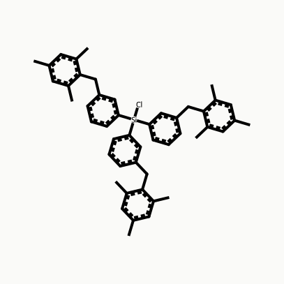 Cc1cc(C)c(Cc2cccc([Si](Cl)(c3cccc(Cc4c(C)cc(C)cc4C)c3)c3cccc(Cc4c(C)cc(C)cc4C)c3)c2)c(C)c1